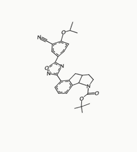 CC(C)Oc1ccc(-c2nc(-c3cccc4c3CC3CCN(C(=O)OC(C)(C)C)C43)no2)cc1C#N